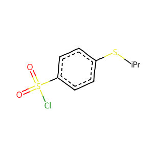 CC(C)Sc1ccc(S(=O)(=O)Cl)cc1